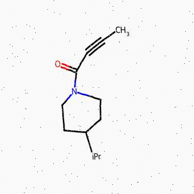 CC#CC(=O)N1CCC(C(C)C)CC1